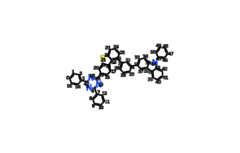 c1ccc(-c2nc(-c3ccccc3)nc(-c3ccc4c(c3)sc3cccc(-c5cccc(-c6ccc7c(c6)c6ccccc6n7-c6ccccc6)c5)c34)n2)cc1